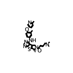 Cc1ccc(Oc2ccc(Nc3ncnc4sc5c(c34)CN(C(=O)C=CCN(C)C)[C@H]5C)cc2C)cn1